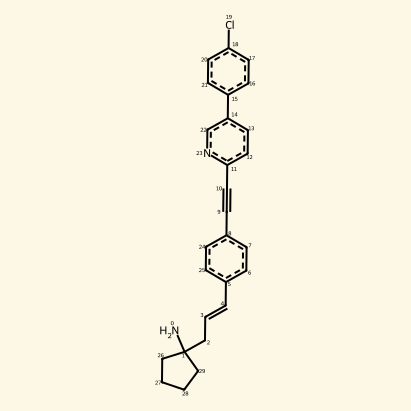 NC1(CC=Cc2ccc(C#Cc3ccc(-c4ccc(Cl)cc4)cn3)cc2)CCCC1